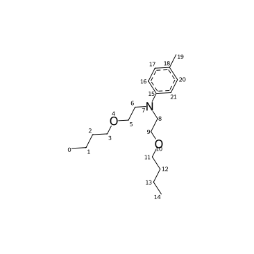 CCCCOCCN(CCOCCCC)c1ccc(C)cc1